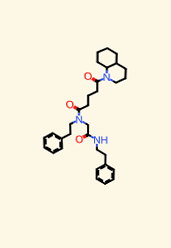 O=C(CN(CCc1ccccc1)C(=O)CCCC(=O)N1CCCC2CCCCC21)NCCc1ccccc1